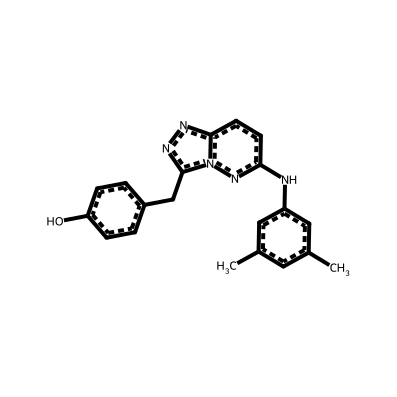 Cc1cc(C)cc(Nc2ccc3nnc(Cc4ccc(O)cc4)n3n2)c1